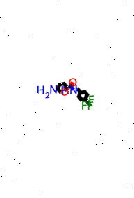 N[C@@H]1CC[C@H](C(=O)NCc2ccc(C(F)(F)F)cc2)OC1